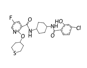 O=C(NC1CCC(NC(=O)c2cc(F)cnc2OC2CCSCC2)CC1)c1ccc(Cl)cc1O